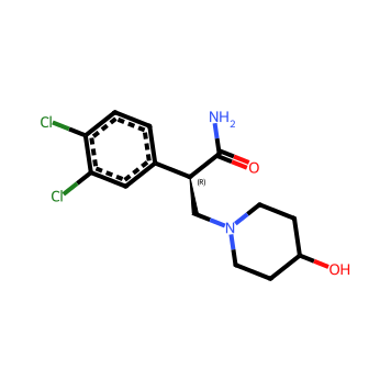 NC(=O)[C@@H](CN1CCC(O)CC1)c1ccc(Cl)c(Cl)c1